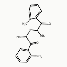 CCCCC(SC(CCCC)C(=O)c1ccccc1C)C(=O)c1ccccc1C